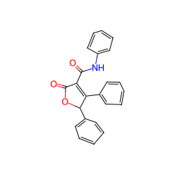 O=C(Nc1ccccc1)C1=C(c2ccccc2)C(c2ccccc2)OC1=O